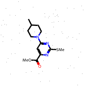 COC(=O)c1cc(N2CCC(C)CC2)nc(SC)n1